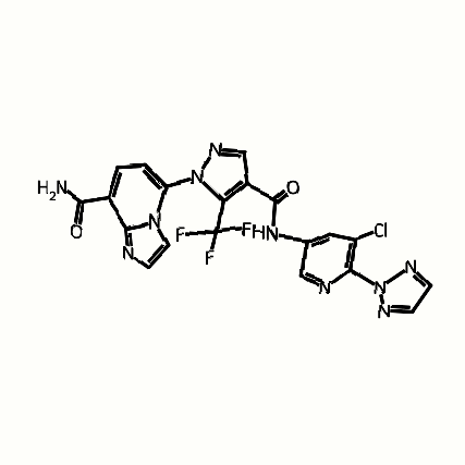 NC(=O)c1ccc(-n2ncc(C(=O)Nc3cnc(-n4nccn4)c(Cl)c3)c2C(F)(F)F)n2ccnc12